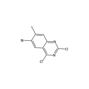 Clc1nc(Cl)c2cc(Br)c(I)cc2n1